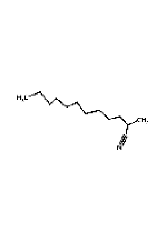 CCCCCCCCCCC(C)C#N